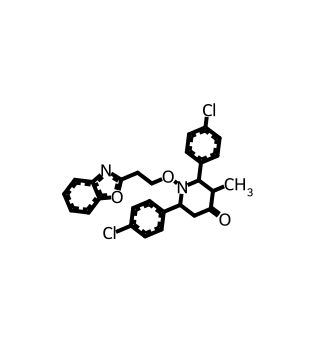 CC1C(=O)CC(c2ccc(Cl)cc2)N(OCCc2nc3ccccc3o2)C1c1ccc(Cl)cc1